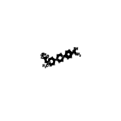 CC(C)(C)OC(=O)C[N@+]1(C)CC[C@@H](N2CCN(c3ccc(C(=N)N)cc3)CC2)CC1